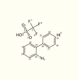 I.O=S(=O)(O)C(F)(F)F.[2H]c1ccccc1-c1ccccc1